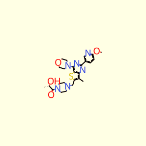 COc1ccc(-c2nc(N3CCOCC3)c3sc(CN4CCN(C(=O)[C@H](C)O)CC4)c(C)c3n2)cn1